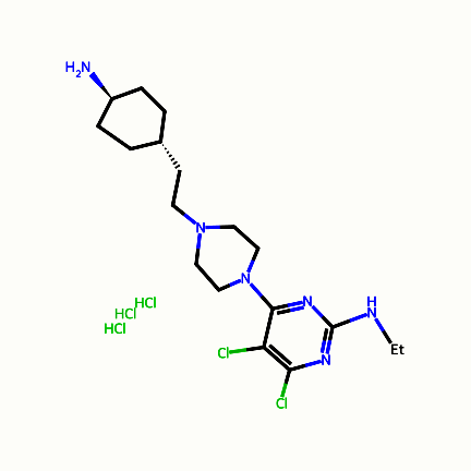 CCNc1nc(Cl)c(Cl)c(N2CCN(CC[C@H]3CC[C@H](N)CC3)CC2)n1.Cl.Cl.Cl